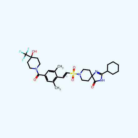 Cc1cc(C(=O)N2CCC(O)(C(F)(F)F)CC2)cc(C)c1/C=C/S(=O)(=O)N1CCC2(CC1)N=C(C1CCCCC1)NC2=O